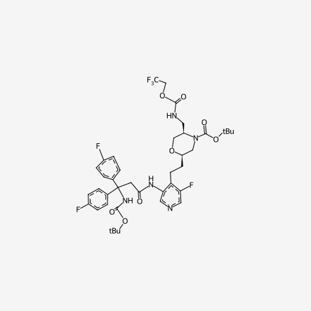 CC(C)(C)OC(=O)NC(CC(=O)Nc1cncc(F)c1CC[C@@H]1CN(C(=O)OC(C)(C)C)[C@H](CNC(=O)OCC(F)(F)F)CO1)(c1ccc(F)cc1)c1ccc(F)cc1